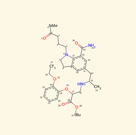 CNC(=O)CCCN1CCc2cc(CC(C)NCC(Oc3ccccc3OCC(F)(F)F)C(=O)OC(C)(C)C)cc(C(N)=O)c21